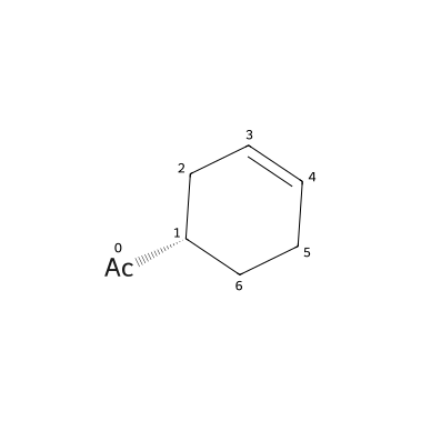 CC(=O)[C@@H]1CC=CCC1